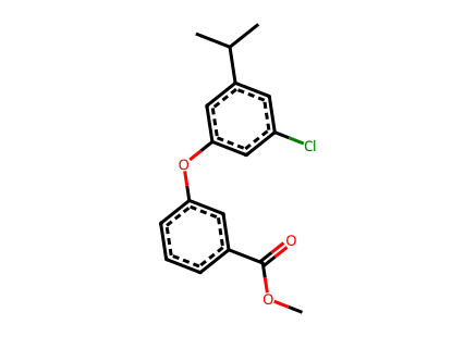 COC(=O)c1cccc(Oc2cc(Cl)cc(C(C)C)c2)c1